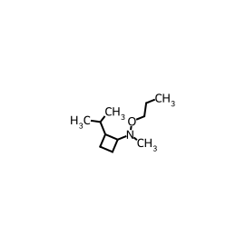 CCCON(C)C1CCC1C(C)C